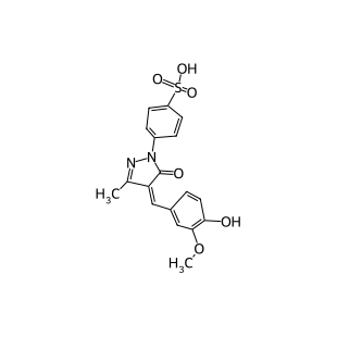 COc1cc(/C=C2\C(=O)N(c3ccc(S(=O)(=O)O)cc3)N=C2C)ccc1O